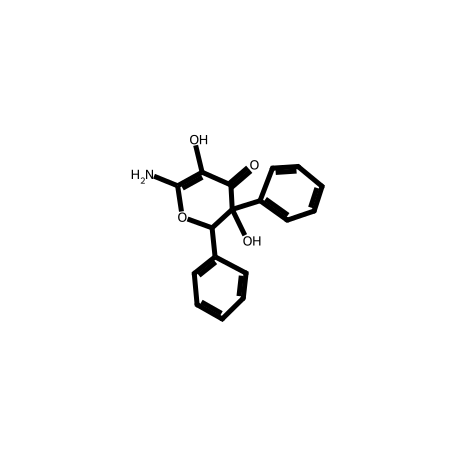 NC1=C(O)C(=O)C(O)(c2ccccc2)C(c2ccccc2)O1